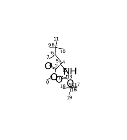 COC(=O)/C(=C\C(C)C(C)(C)C)NC(=O)OC(C)(C)C